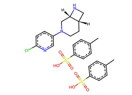 Cc1ccc(S(=O)(=O)O)cc1.Cc1ccc(S(=O)(=O)O)cc1.Clc1ccc(N2CC[C@H]3CN[C@H]3C2)cn1